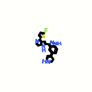 Fc1ccc(-c2nccc3[nH]c(-c4n[nH]c5ccc(C6=CCNCC6)cc45)cc23)s1